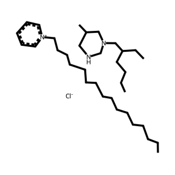 CCCCC(CC)CN1CNCC(C)C1.CCCCCCCCCCCCCCCC[n+]1ccccc1.[Cl-]